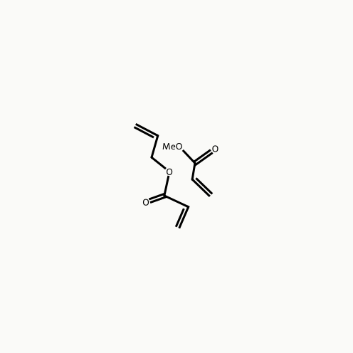 C=CC(=O)OC.C=CCOC(=O)C=C